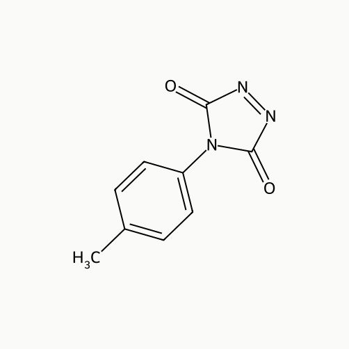 Cc1ccc(N2C(=O)N=NC2=O)cc1